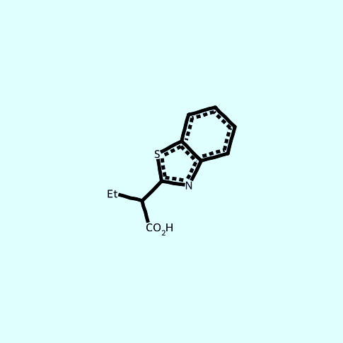 CCC(C(=O)O)c1nc2ccccc2s1